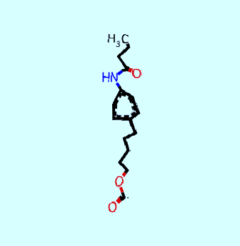 CCCC(=O)Nc1ccc(CCCCCO[C]=O)cc1